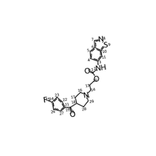 O=C(Nc1ccc2cnsc2c1)OCCN1CCC(C(=O)c2ccc(F)cc2)CC1